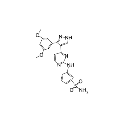 COc1cc(OC)cc(-c2n[nH]cc2-c2ccnc(Nc3cccc(S(N)(=O)=O)c3)n2)c1